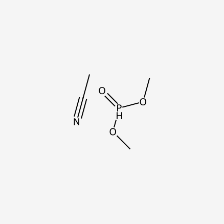 CC#N.CO[PH](=O)OC